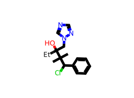 CCC(O)(Cn1cncn1)C(C)(C)C(Cl)c1ccccc1